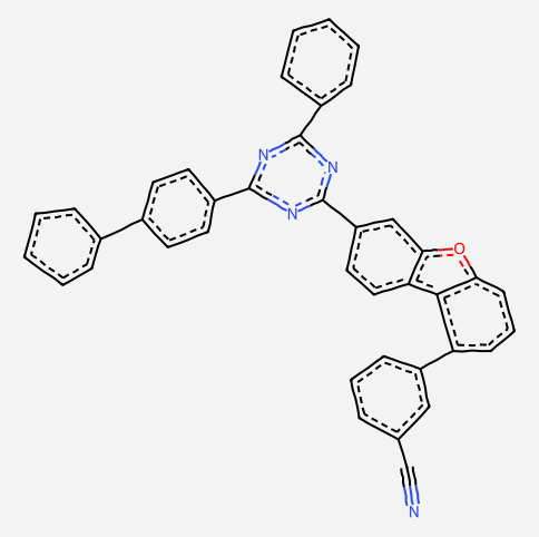 N#Cc1cccc(-c2cccc3oc4cc(-c5nc(-c6ccccc6)nc(-c6ccc(-c7ccccc7)cc6)n5)ccc4c23)c1